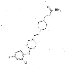 NC(=O)CCC1CCC(CCN2CCC(Oc3ccc(F)cc3Cl)CC2)CC1